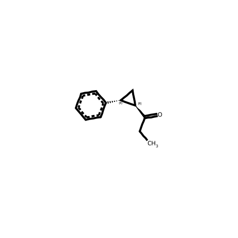 CCC(=O)[C@@H]1C[C@H]1c1ccccc1